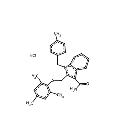 Cc1ccc(Cn2c(CSc3c(C)cc(C)cc3C)c(C(N)=O)c3ccccc32)cc1.Cl